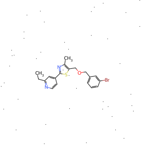 CCc1cc(-c2nc(C)c(COCc3cccc(Br)c3)s2)ccn1